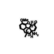 COC1=C2O[C@H]3C(=O)C=CC4(N)[C@H]5CC(C=C1)C2[C@@]34CCN5C